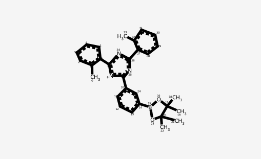 Cc1ccccc1-c1nc(-c2cccc(B3OC(C)(C)C(C)(C)O3)c2)nc(-c2ccccc2C)n1